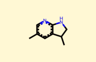 Cc1cnc2c(c1)C(C)CN2